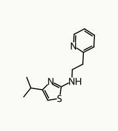 CC(C)c1csc(NCCc2ccccn2)n1